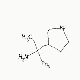 CC(C)(N)C1CC[N]C1